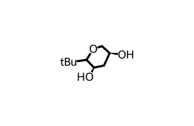 CC(C)(C)C1OC[C@@H](O)C[C@H]1O